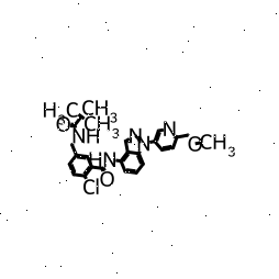 COCc1ccc(-n2ncc3c(NC(=O)c4cc(CNC(=O)C(C)(C)C)ccc4Cl)cccc32)cn1